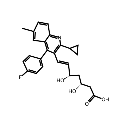 Cc1ccc2nc(C3CC3)c(/C=C/[C@@H](O)C[C@@H](O)CC(=O)O)c(-c3ccc(F)cc3)c2c1